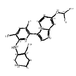 Fc1cc(F)c(-c2cnc3cc(OC(F)F)ccn23)nc1NC1CNCCC1F